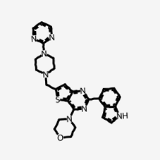 c1cnc(N2CCN(Cc3cc4nc(-c5cccc6[nH]ccc56)nc(N5CCOCC5)c4s3)CC2)nc1